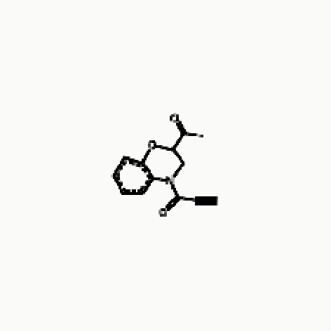 C#CC(=O)N1CC(C(C)=O)Oc2ccccc21